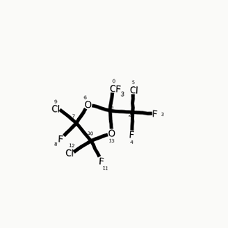 FC(F)(F)C1(C(F)(F)Cl)OC(F)(Cl)C(F)(Cl)O1